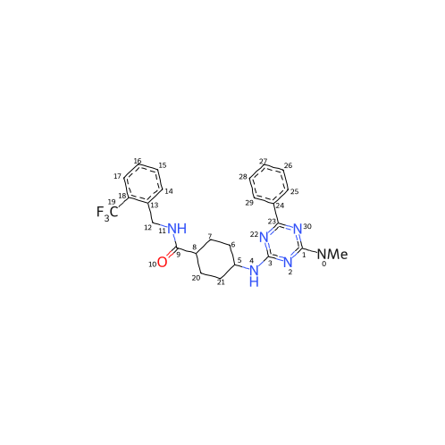 CNc1nc(NC2CCC(C(=O)NCc3ccccc3C(F)(F)F)CC2)nc(-c2ccccc2)n1